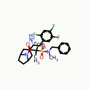 CN(Cc1ccccc1)S(=O)(=O)C(C)(C)C(=O)N1C2CCC1CC([C@H](N)Cc1cc(F)c(F)cc1F)C2